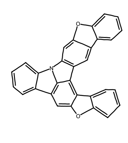 c1ccc2c(c1)oc1cc3c(cc12)c1c2c(cc4c5ccccc5n3c41)oc1ccccc12